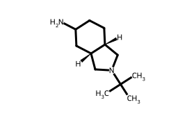 CC(C)(C)N1C[C@H]2CCC(N)C[C@H]2C1